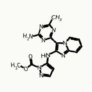 COC(=O)n1nccc1Nc1nc2ccccn2c1-c1nc(C)nc(N)n1